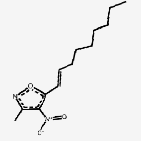 CCCCCCCC=Cc1onc(C)c1[N+](=O)[O-]